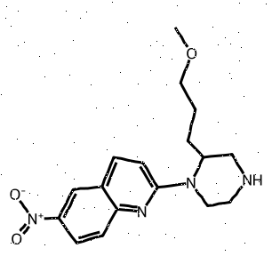 COCCCC1CNCCN1c1ccc2cc([N+](=O)[O-])ccc2n1